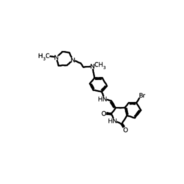 CN1CCN(CCN(C)c2ccc(NC=C3C(=O)NC(=O)c4ccc(Br)cc43)cc2)CC1